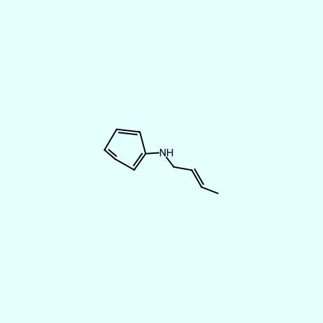 C/C=C/CNc1ccccc1